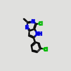 Cc1nc(Cl)c2[nH]c(-c3cccc(Cl)c3)cc2n1